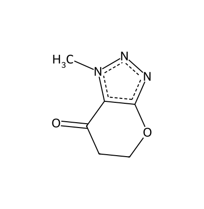 Cn1nnc2c1C(=O)CCO2